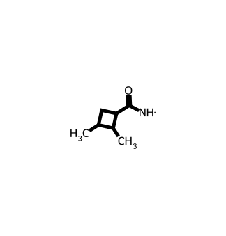 CC1CC(C([NH])=O)C1C